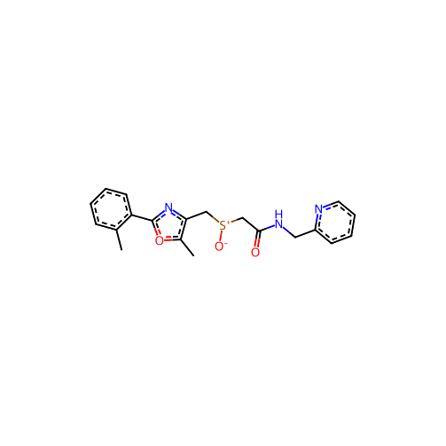 Cc1ccccc1-c1nc(C[S+]([O-])CC(=O)NCc2ccccn2)c(C)o1